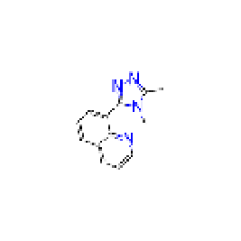 Cc1nnc(-c2cccc3cccnc23)n1C